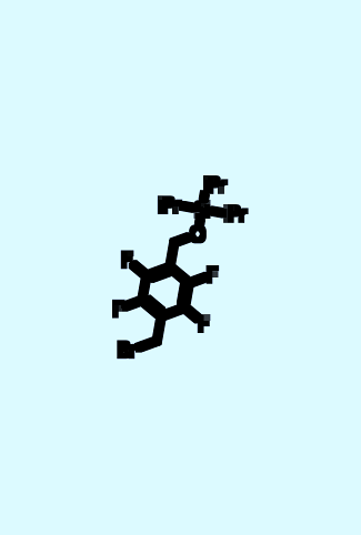 CC(C)[Si](OCc1c(F)c(F)c(CBr)c(F)c1F)(C(C)C)C(C)C